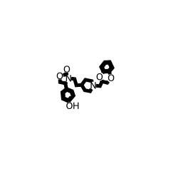 O=C1OCC(c2ccc(O)cc2)N1CCC1CCN(CC2COc3ccccc3O2)CC1